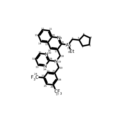 CC[As](CC1CCCC1)c1nc2ccccc2cc1CN(Cc1cc(C(F)(F)F)cc(C(F)(F)F)c1)c1ncccn1